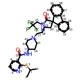 CC(C)Sc1ncccc1C(=O)NC1CCN(CCCCC2(C(=O)NCC(F)(F)F)c3ccccc3-c3ccccc32)CC1